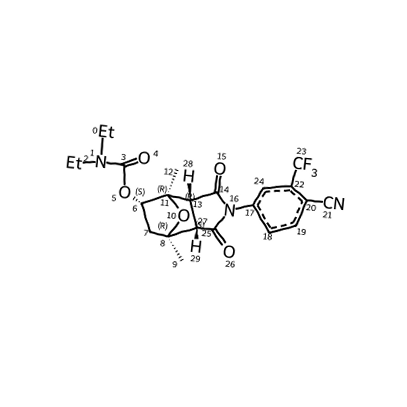 CCN(CC)C(=O)O[C@H]1C[C@@]2(C)O[C@]1(C)[C@@H]1C(=O)N(c3ccc(C#N)c(C(F)(F)F)c3)C(=O)[C@@H]12